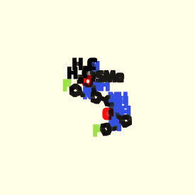 C=N/C(C)=C(\SC)C(=O)Nc1nn(Cc2ccc(F)cc2)c2ccc(/C(C=N)=C/C(=N)C(=O)Nc3nn(Cc4ccc(F)cc4)c4ccccc34)cc12